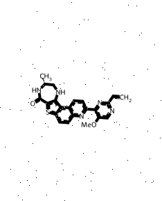 C=Cc1ncc(OC)c(-c2ccc3c(ccc4sc5c(c43)NC[C@@H](C)NC5=O)n2)n1